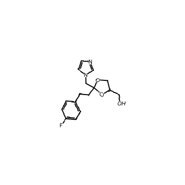 OCC1COC(CCc2ccc(F)cc2)(Cn2ccnc2)O1